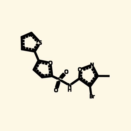 Cc1noc(NS(=O)(=O)c2ccc(-c3cccs3)o2)c1Br